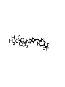 CC(C)(C)OC(=O)N1CC2(CC(=Cc3ncc(C(F)(F)F)cn3)C2)C1